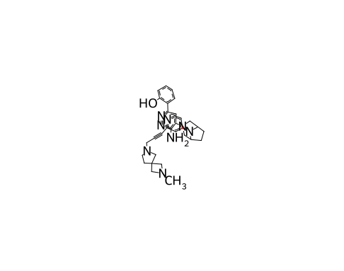 CN1CC2(CCN(CC#Cc3cc(N4C5CCC4CN(c4cc(-c6ccccc6O)nnc4N)C5)ccn3)C2)C1